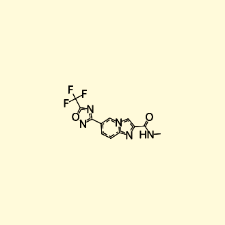 CNC(=O)c1cn2cc(-c3noc(C(F)(F)F)n3)ccc2n1